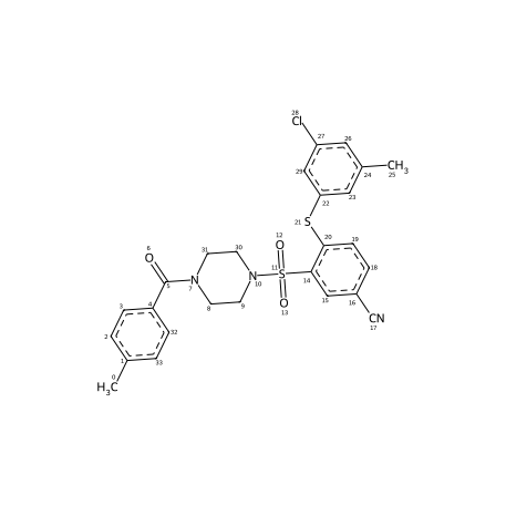 Cc1ccc(C(=O)N2CCN(S(=O)(=O)c3cc(C#N)ccc3Sc3cc(C)cc(Cl)c3)CC2)cc1